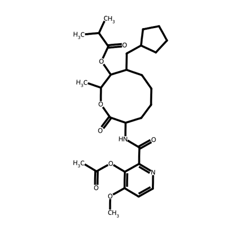 COc1ccnc(C(=O)NC2CCCCC(CC3CCCC3)C(OC(=O)C(C)C)C(C)OC2=O)c1OC(C)=O